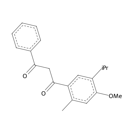 COc1cc(C)c(C(=O)CC(=O)c2ccccc2)cc1C(C)C